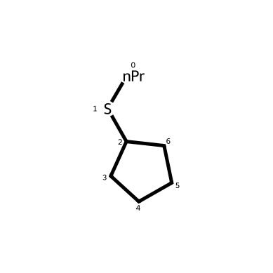 [CH2]CCSC1CCCC1